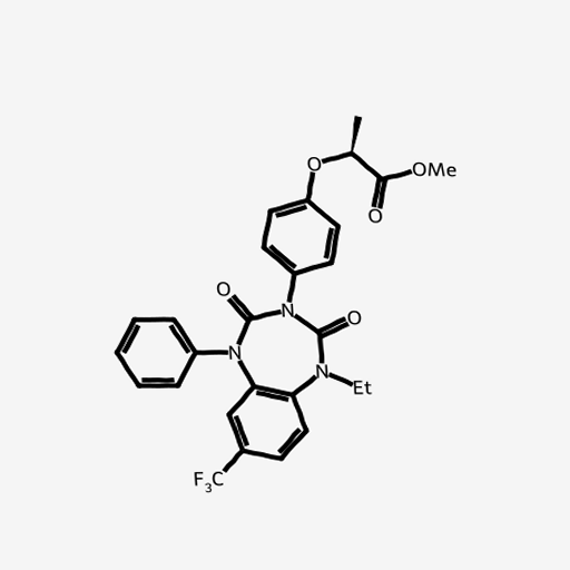 CCN1C(=O)N(c2ccc(O[C@@H](C)C(=O)OC)cc2)C(=O)N(c2ccccc2)c2cc(C(F)(F)F)ccc21